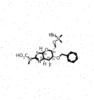 CN(C(=O)O)C1=N[C@@H]2[C@@H](F)[C@@H](OCc3ccccc3)[C@@H](CO[Si](C)(C)C(C)(C)C)O[C@@H]2S1